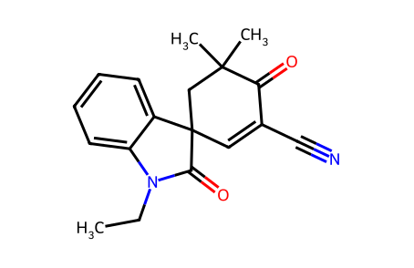 CCN1C(=O)C2(C=C(C#N)C(=O)C(C)(C)C2)c2ccccc21